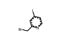 BrCc1cc(I)ccn1